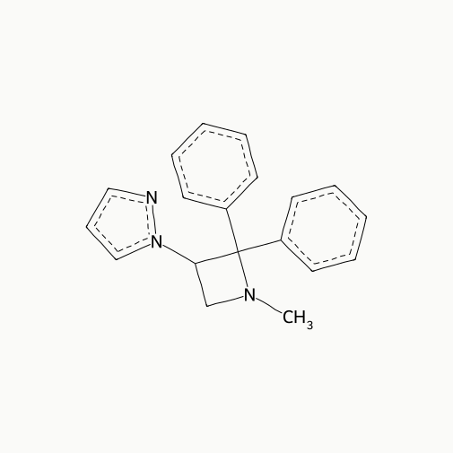 CN1CC(n2cccn2)C1(c1ccccc1)c1ccccc1